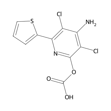 Nc1c(Cl)c(OC(=O)O)nc(-c2cccs2)c1Cl